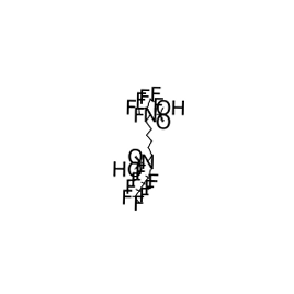 O=C(O)N(CCCCCCN(C(=O)O)C(C(F)(F)F)C(F)(F)F)CC(F)(F)C(F)(F)C(F)(F)C(F)F